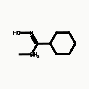 C[SiH2]C(=NO)C1CCCCC1